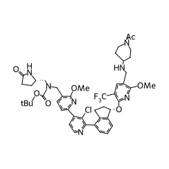 COc1nc(-c2ccnc(-c3cccc4c3CC[C@@H]4Oc3nc(OC)c(CNC4CCN(C(C)=O)CC4)cc3C(F)(F)F)c2Cl)ccc1CN(C[C@@H]1CCC(=O)N1)C(=O)OC(C)(C)C